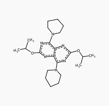 CC(C)Oc1nc(N2CCCCC2)c2nc(OC(C)C)nc(N3CCCCC3)c2n1